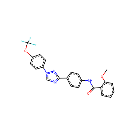 COc1ccccc1C(=O)Nc1ccc(-c2ncn(-c3ccc(OC(F)(F)F)cc3)n2)cc1